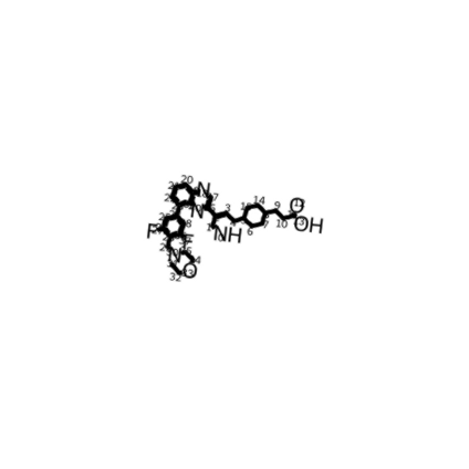 N=C/C(=C\CC1CCC(CCC(=O)O)CC1)c1cnc2cccc(-c3cc(F)c(CN4CCOCC4)c(F)c3)c2n1